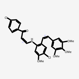 COc1cc(N/C=C\C(=O)c2ccc(Cl)cc2)c(/C=C\c2cc(OC)c(OC)c(OC)c2)cc1Cl